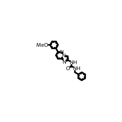 COc1cccc(-c2ccc3nc(NC(=O)NCc4ccccc4)cn3n2)c1